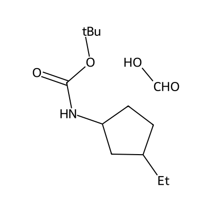 CCC1CCC(NC(=O)OC(C)(C)C)C1.O=CO